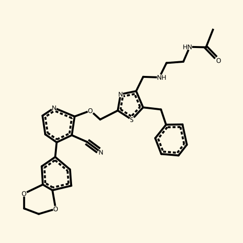 CC(=O)NCCNCc1nc(COc2nccc(-c3ccc4c(c3)OCCO4)c2C#N)sc1Cc1ccccc1